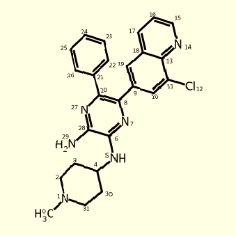 CN1CCC(Nc2nc(-c3cc(Cl)c4ncccc4c3)c(-c3ccccc3)nc2N)CC1